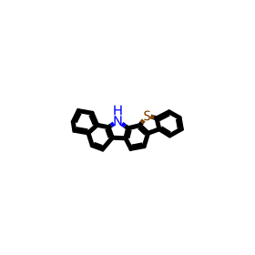 c1ccc2c(c1)ccc1c3ccc4c5ccccc5sc4c3[nH]c21